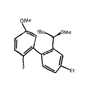 CCc1ccc(-c2cc(OC)ccc2F)c([C@H](OC)C(C)(C)C)c1